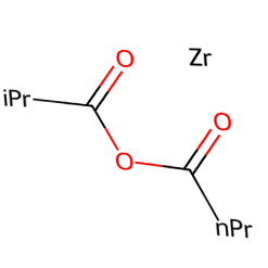 CCCC(=O)OC(=O)C(C)C.[Zr]